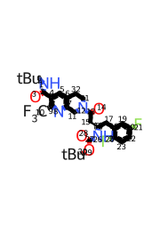 CC(C)(C)NC(=O)c1cc2c(nc1C(F)(F)F)CN(C(=O)C[C@@H](Cc1cc(F)ccc1F)NC(=O)OC(C)(C)C)CC2